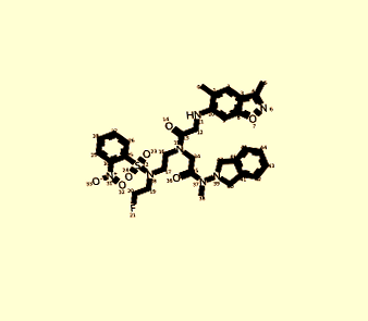 Cc1cc2c(C)noc2cc1NCC(=O)N(CCN(CCF)S(=O)(=O)c1ccccc1[N+](=O)[O-])CC(=O)N(C)N1Cc2ccccc2C1